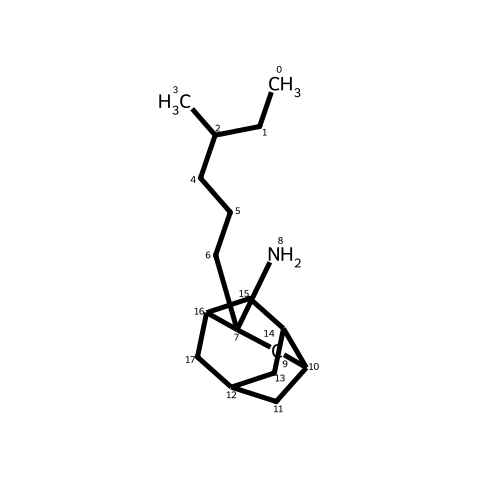 CCC(C)CCCC1(N)CC2CC3CC2CC1C3